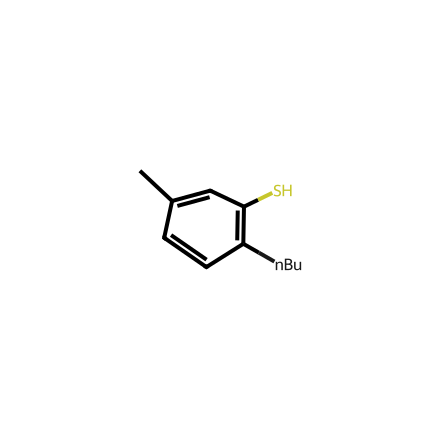 CCCCc1ccc(C)cc1S